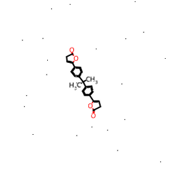 CC(C)(c1ccc(C2=CCC(=O)O2)cc1)c1ccc(C2=CCC(=O)O2)cc1